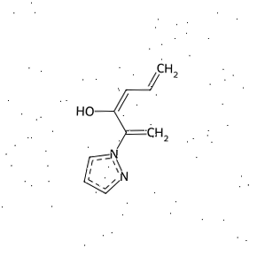 C=C/C=C(/O)C(=C)n1cccn1